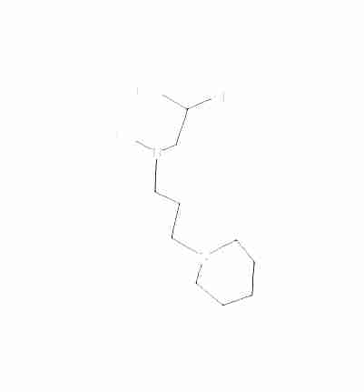 CC(C)CN(C)CCCN1CCCCC1